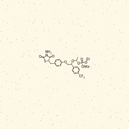 CCOP(=O)(OC)OC(C)OC(COc1ccc(CC2SC(=O)N(N)C2=O)cc1)c1ccc(C(F)(F)F)cc1